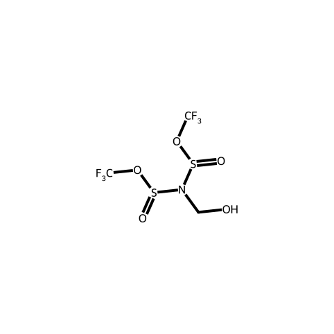 O=S(OC(F)(F)F)N(CO)S(=O)OC(F)(F)F